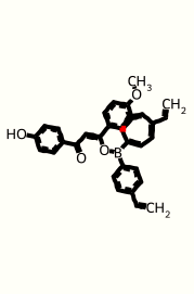 C=CC1=CC=C(B(O/C(=C\C(=O)c2ccc(O)cc2)c2ccc(OC)cc2)c2ccc(C=C)cc2)CC=C1